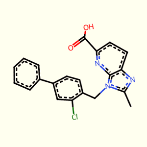 Cc1nc2ccc(C(=O)O)nc2n1Cc1ccc(-c2ccccc2)cc1Cl